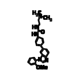 COc1ccccc1-n1cnc2ccc(-c3ccc(NC(=O)NCCN(C)C)cc3)cc21